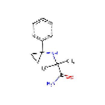 CC(C)(NC1(c2ccccc2)CC1)C(N)=O